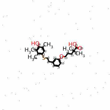 Cc1cc(SCCc2cccc(OCCCC(C)(C)C(=O)O)c2)c(C)c(C)c1O